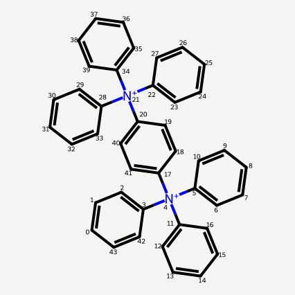 c1ccc([N+](c2ccccc2)(c2ccccc2)c2ccc([N+](c3ccccc3)(c3ccccc3)c3ccccc3)cc2)cc1